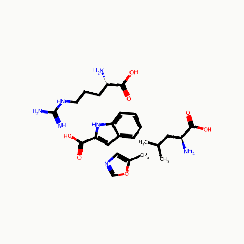 CC(C)C[C@H](N)C(=O)O.Cc1cnco1.N=C(N)NCCC[C@H](N)C(=O)O.O=C(O)c1cc2ccccc2[nH]1